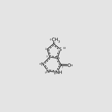 Cc1cc2nn[nH]c(=O)c2s1